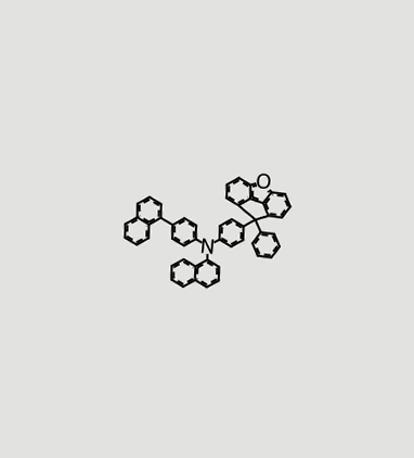 c1ccc(C2(c3ccc(N(c4ccc(-c5cccc6ccccc56)cc4)c4cccc5ccccc45)cc3)c3cccc4oc5cccc2c5c34)cc1